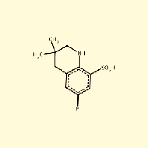 CC1(C)CNc2c(cc(F)cc2S(=O)(=O)O)C1